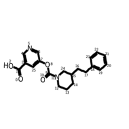 O=C(O)c1cncc(OC(=O)N2CCCC(CCc3ccccc3)C2)c1